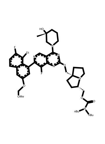 CCCCN(CCCC)C(=O)OC[C@@H]1CC[C@@]2(COc3nc(N4CCC[C@@](C)(O)C4)c4cnc(-c5cc(OCOC)cc6ccc(F)c(CC)c56)c(F)c4n3)CCCN12